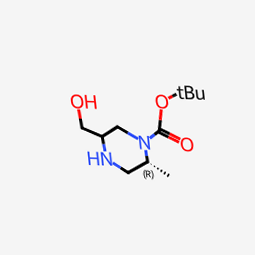 C[C@@H]1CNC(CO)CN1C(=O)OC(C)(C)C